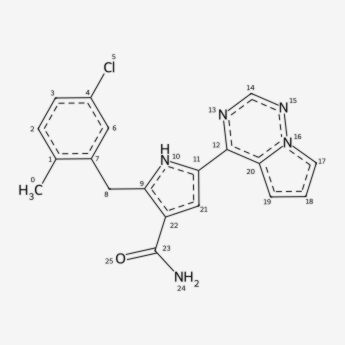 Cc1ccc(Cl)cc1Cc1[nH]c(-c2ncnn3cccc23)cc1C(N)=O